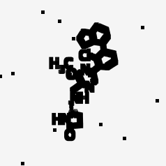 COc1nc(-c2cccc(-c3cccc4c3CCC4)c2Cl)cnc1CNC[C@@H]1CCC(=O)N1